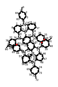 Cc1ccc(N2c3cccc4c3P3c5c2cccc5N(c2ccc(C)cc2)c2c3c(cc3c5c6c(cc23)N(c2ccc(C)cc2)c2cccc3c2P6(=S)c2c(cccc2N5c2ccc(C)cc2)N3c2ccc(C)cc2)N4c2ccc(C)cc2)cc1